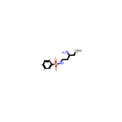 COCC(N)CCNS(=O)(=O)c1ccccc1